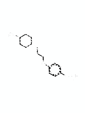 CCCC[C@H]1CC[C@H](CCCOc2ccc(C(=O)O)cc2)CC1